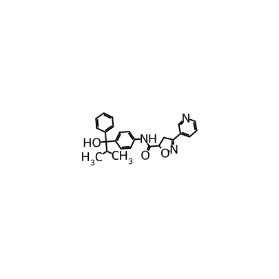 CC(C)C(O)(c1ccccc1)c1ccc(NC(=O)C2CC(c3cccnc3)=NO2)cc1